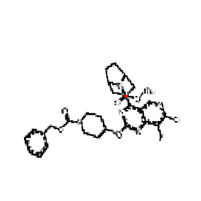 CC(C)(C)OC(=O)N1C2CCC1CN(c1nc(OC3CCN(C(=O)OCc4ccccc4)CC3)nc3c(F)c(Cl)ncc13)C2